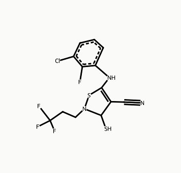 N#CC1=C(Nc2cccc(Cl)c2F)SN(CCC(F)(F)F)C1S